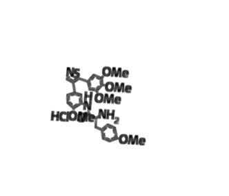 COc1ccc(CC(N)C(=O)Nc2cc(-c3cnsc3-c3cc(OC)c(OC)c(OC)c3)ccc2OC)cc1.Cl